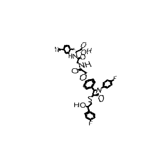 N#Cc1ccc(C[C@@H](NC(=O)CNC(=O)COc2ccc(C3C(SCC(O)c4ccc(F)cc4)C(=O)N3c3ccc(F)cc3)cc2)C(=O)O)cc1